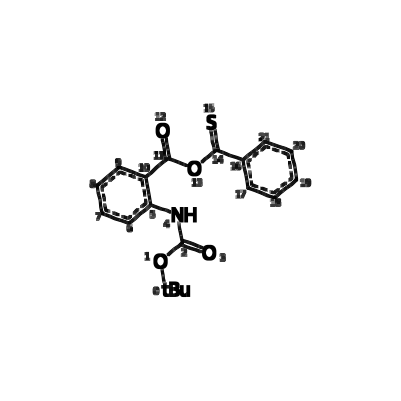 CC(C)(C)OC(=O)Nc1ccccc1C(=O)OC(=S)c1ccccc1